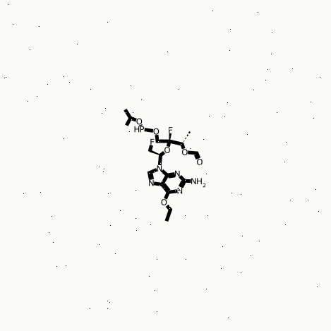 CCOc1nc(N)nc2c1ncn2[C@@H](CF)O[C@](F)(COPOC(C)C)[C@H](C)OC=O